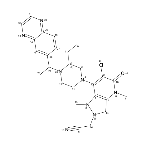 CC[C@@H]1CN(c2c3c(n(C)c(=O)c2Cl)CN(CC#N)N3C)CCN1C(C)c1ccc2nccnc2c1